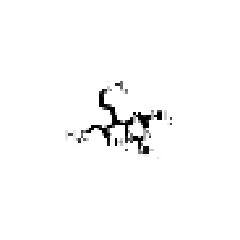 C=C(CC)/C(=C\C=C/C)c1nc(N)nc(N)n1